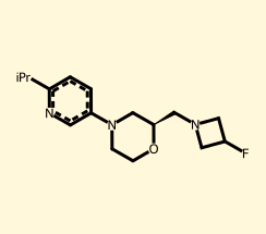 CC(C)c1ccc(N2CCO[C@H](CN3CC(F)C3)C2)cn1